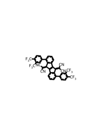 N#CC(C#N)=C1C2=C(C(=C(C#N)C#N)c3c2cccc3-c2ccc(C(F)(F)F)c(C(F)(F)F)c2)c2cccc(-c3ccc(C(F)(F)F)c(C(F)(F)F)c3)c21